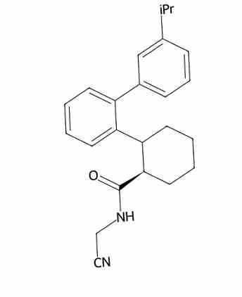 CC(C)c1cccc(-c2ccccc2C2CCCC[C@H]2C(=O)NCC#N)c1